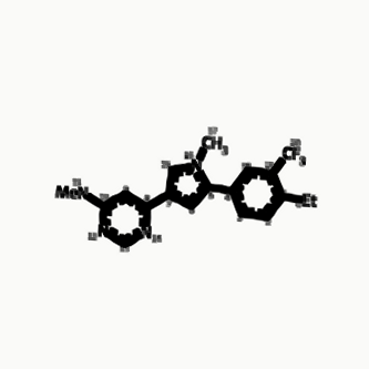 CCc1ccc(-c2cc(-c3cc(NC)ncn3)cn2C)cc1C(F)(F)F